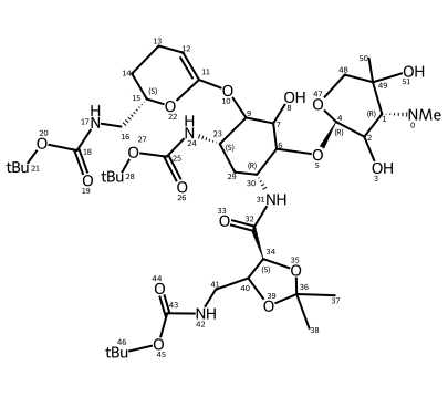 CN[C@@H]1C(O)[C@@H](OC2C(O)C(OC3=CCC[C@@H](CNC(=O)OC(C)(C)C)O3)[C@@H](NC(=O)OC(C)(C)C)C[C@H]2NC(=O)[C@H]2OC(C)(C)OC2CNC(=O)OC(C)(C)C)OCC1(C)O